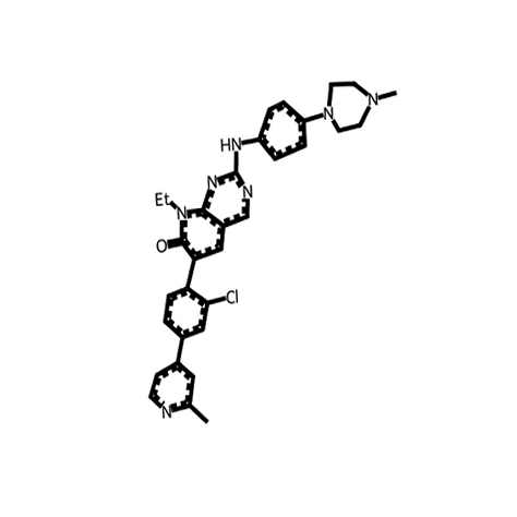 CCn1c(=O)c(-c2ccc(-c3ccnc(C)c3)cc2Cl)cc2cnc(Nc3ccc(N4CCN(C)CC4)cc3)nc21